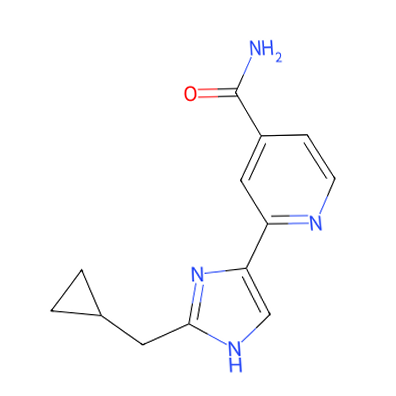 NC(=O)c1ccnc(-c2c[nH]c(CC3CC3)n2)c1